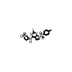 Cc1ccc(S(=O)(=O)n2ccc3c(NC4CCS(=O)(=O)C4)nc(I)nc32)cc1